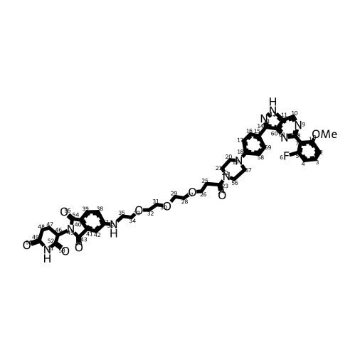 COc1cccc(F)c1-c1ncc2[nH]nc(-c3ccc(N4CCN(C(=O)CCOCCOCCOCCNc5ccc6c(c5)C(=O)N(C5CCC(=O)NC5=O)C6=O)CC4)cc3)c2n1